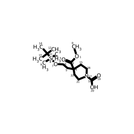 COC(=O)C1(CCO[Si](C)(C)C(C)(C)C)CCN(C(=O)O)CC1